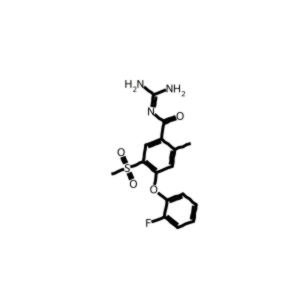 Cc1cc(Oc2ccccc2F)c(S(C)(=O)=O)cc1C(=O)N=C(N)N